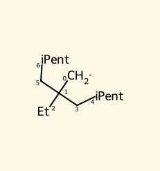 [CH2]C(CC)(CC(C)CCC)CC(C)CCC